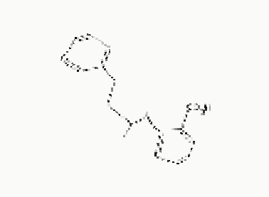 CC(CCc1ccccc1)Nc1ccccc1C(=O)O